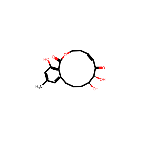 Cc1cc(O)c2c(c1)CCC[C@H](O)[C@H](O)C(=O)/C=C\CCOC2=O